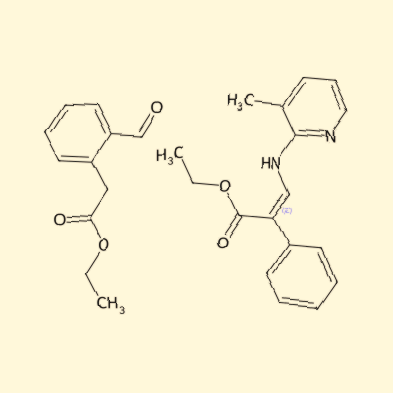 CCOC(=O)/C(=C\Nc1ncccc1C)c1ccccc1.CCOC(=O)Cc1ccccc1C=O